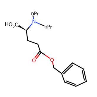 CCCN(CCC)[C@@H](CCC(=O)OCc1ccccc1)C(=O)O